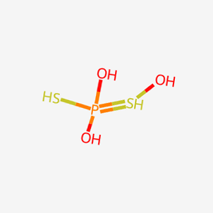 O[SH]=P(O)(O)S